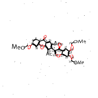 COCOc1ccc2c(=O)c3cc(C(C)=O)c(-c4coc5cc(OCOC)c(OCOC)cc5c4=O)c(C(C)=O)c3oc2c1